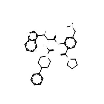 C[C@H](c1c[nH]c2ccccc12)[C@@H](NC(=O)N1CCC(c2ccccc2)CC1)C(=O)Nc1cc(CN(C)C)ccc1C(=O)N1CCCC1